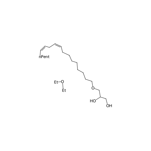 CCCCC/C=C\C/C=C\CCCCCCCCOCC(O)CO.CCOCC